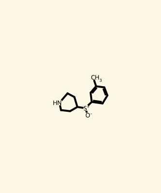 Cc1cccc([S+]([O-])C2CCNCC2)c1